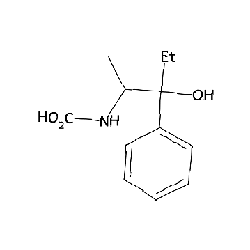 CCC(O)(c1ccccc1)C(C)NC(=O)O